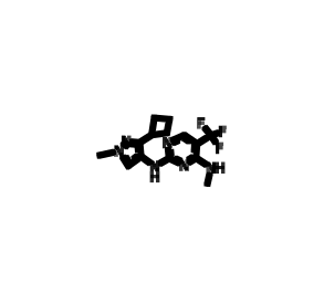 CNc1nc(Nc2cn(C)nc2C2CCC2)ncc1C(F)(F)F